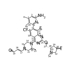 Cc1cc(N)nc(-c2c(Cl)cc3c(N4CCN(C=CC=O)C[C@@H]4C)nc(OC[C@@H]4C[C@@H](F)CN4C)nc3c2F)c1C